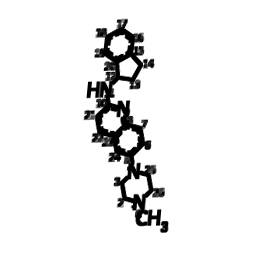 CN1CCN(c2ccc3nc(NC4CCc5ccccc54)ccc3c2)CC1